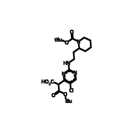 CCC(C)OC(=O)C(C(=O)O)c1nc(NCCC2CCCCN2C(=O)OC(C)(C)C)ncc1Cl